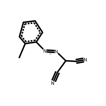 Cc1ccccc1/N=N/C(C#N)C#N